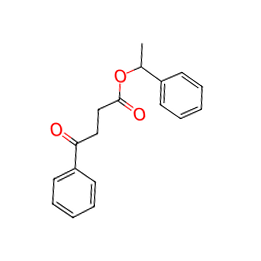 CC(OC(=O)CCC(=O)c1ccccc1)c1ccccc1